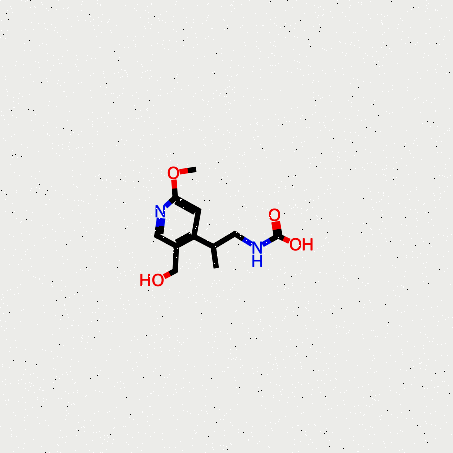 COc1cc(C(C)CNC(=O)O)c(CO)cn1